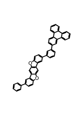 c1ccc(-c2ccc3oc4cc5c(cc4c3c2)oc2ccc(-c3cccc(-c4ccc6c7ccccc7c7ccccc7c6c4)c3)cc25)cc1